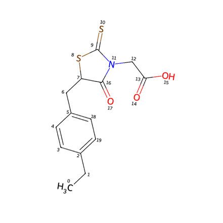 CCc1ccc(CC2SC(=S)N(CC(=O)O)C2=O)cc1